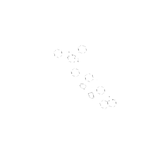 c1ccc(-c2cc(-c3cccc(-c4ccc5c(c4)C4(c6cc(-c7cccc8cccnc78)ccc6S5)c5ccccc5-c5ccccc54)c3)nc(-c3ccccc3)n2)cc1